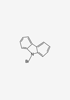 Brn1c2ccccc2c2ccccc21